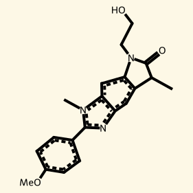 COc1ccc(-c2nc3cc4c(cc3n2C)N(CCO)C(=O)C4C)cc1